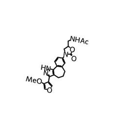 COc1cocc1-c1n[nH]c2c1CCCc1cc(N3CC(CNC(C)=O)OC3=O)ccc1-2